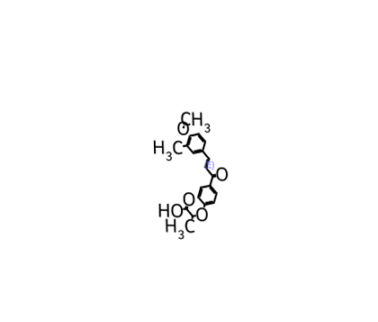 COc1ccc(/C=C/C(=O)c2ccc(OC(C)C(=O)O)cc2)cc1C